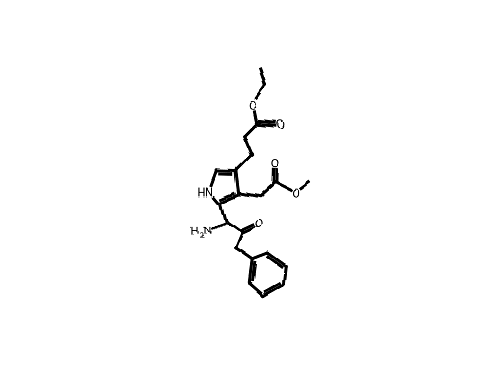 CCOC(=O)CCc1c[nH]c(C(N)C(=O)Cc2ccccc2)c1CC(=O)OC